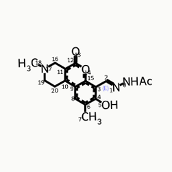 CC(=O)N/N=C/c1c(O)c(C)cc2c3c(c(=O)oc12)CN(C)CC3